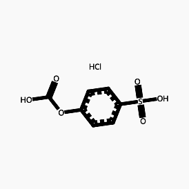 Cl.O=C(O)Oc1ccc(S(=O)(=O)O)cc1